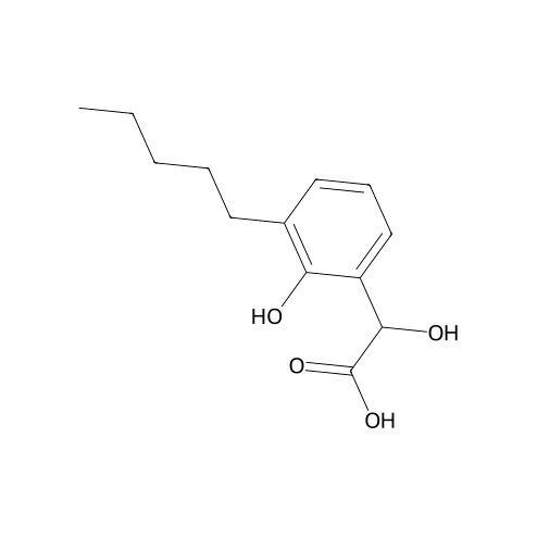 CCCCCc1cccc(C(O)C(=O)O)c1O